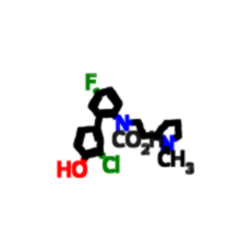 CN1CCCC1CCN(C(=O)O)c1ccc(F)cc1-c1ccc(O)c(Cl)c1